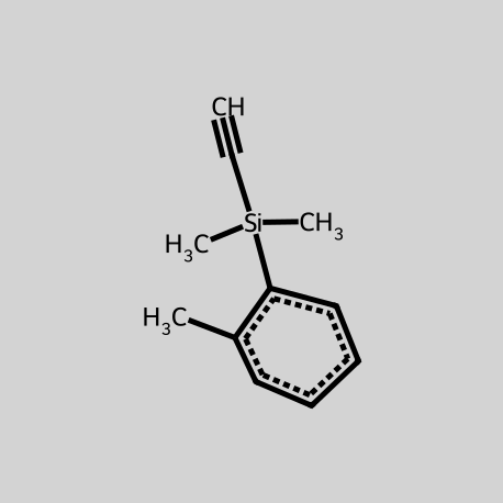 C#C[Si](C)(C)c1ccccc1C